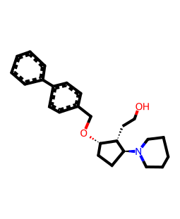 OCC[C@H]1[C@@H](OCc2ccc(-c3ccccc3)cc2)CC[C@@H]1N1CCCCC1